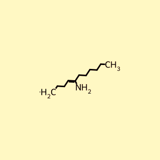 [CH2]CCC=C(N)CCCCCC